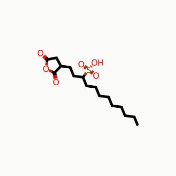 CCCCCCCCCC(CCC1CC(=O)OC1=O)S(=O)(=O)O